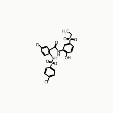 CCS(=O)(=O)c1ccc(O)c(NC(=O)c2cc(Cl)ccc2NS(=O)(=O)c2ccc(Cl)cc2)c1